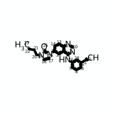 C#Cc1cccc(Nc2ncnc3ccc(-n4ccn(CCCC)c4=O)cc23)c1